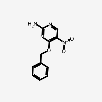 Nc1ncc([N+](=O)[O-])c(OCc2ccccc2)n1